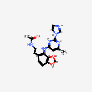 CCC(=O)NCCc1ccc2c(c1Nc1cc(C)nc(-n3ccnc3)n1)OCO2